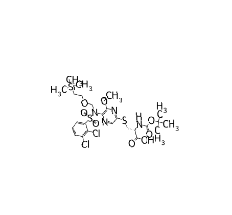 COc1nc(SC[C@H](NC(=O)OC(C)(C)C)C(=O)O)cnc1N(COCC[Si](C)(C)C)S(=O)(=O)c1cccc(Cl)c1Cl